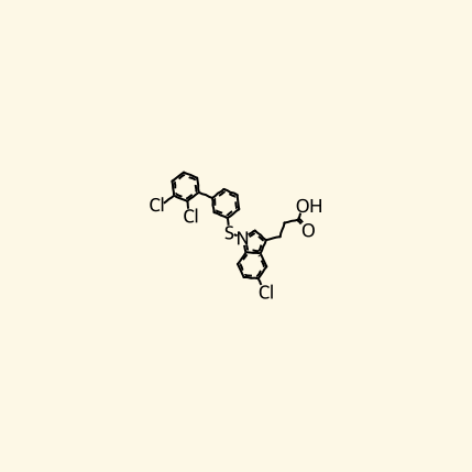 O=C(O)CCc1cn(Sc2cccc(-c3cccc(Cl)c3Cl)c2)c2ccc(Cl)cc12